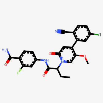 CCC(C(=O)Nc1ccc(C(N)=O)c(F)c1)n1cc(OC)c(-c2cc(Cl)ccc2C#N)cc1=O